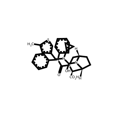 Cc1cc(CN(C2CC2)C(O)N2[C@H]3CC[C@@H]2[C@@H](C(=O)O)N(C(=O)N(c2ccccc2)c2ccccc2)C3)cs1